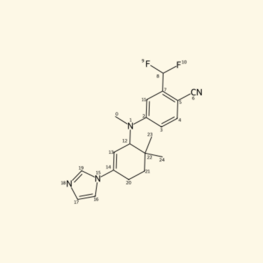 CN(c1ccc(C#N)c(C(F)F)c1)C1C=C(n2ccnc2)CCC1(C)C